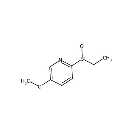 CC[S+]([O-])c1ccc(OC)cn1